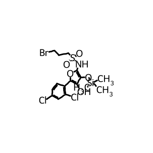 C[Si](C)(C)Oc1c(NS(=O)(=O)CCCBr)oc(-c2ccc(Cl)cc2Cl)c1O